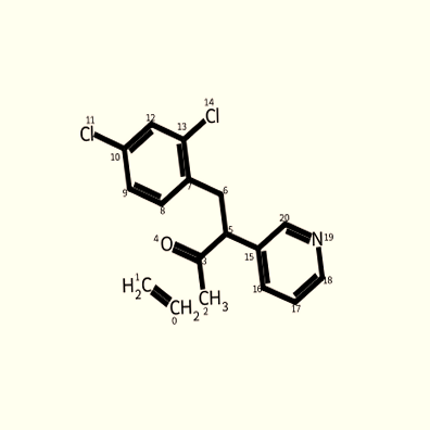 C=C.CC(=O)C(Cc1ccc(Cl)cc1Cl)c1cccnc1